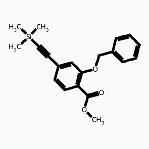 COC(=O)c1ccc(C#C[Si](C)(C)C)cc1OCc1ccccc1